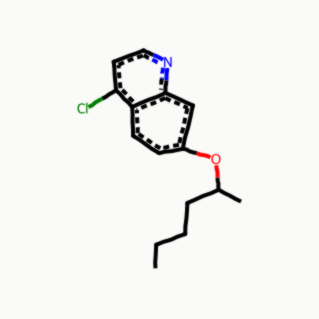 CCCCC(C)Oc1ccc2c(Cl)ccnc2c1